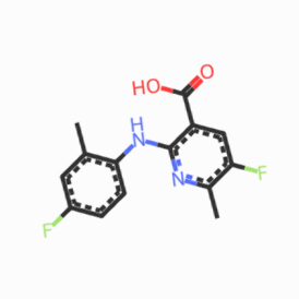 Cc1cc(F)ccc1Nc1nc(C)c(F)cc1C(=O)O